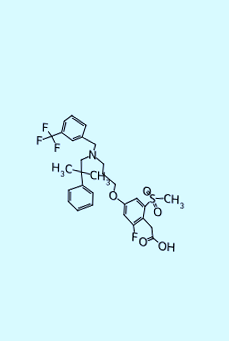 CC(C)(CN(CCCOc1cc(F)c(CC(=O)O)c(S(C)(=O)=O)c1)Cc1cccc(C(F)(F)F)c1)c1ccccc1